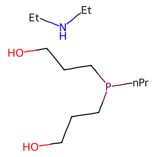 CCCP(CCCO)CCCO.CCNCC